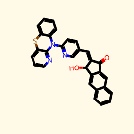 O=C1/C(=C/c2ccc(N3c4ccccc4Sc4cccnc43)nc2)C(O)c2cc3ccccc3cc21